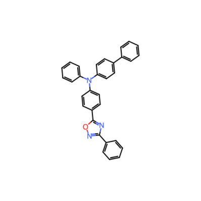 c1ccc(-c2ccc(N(c3ccccc3)c3ccc(-c4nc(-c5ccccc5)no4)cc3)cc2)cc1